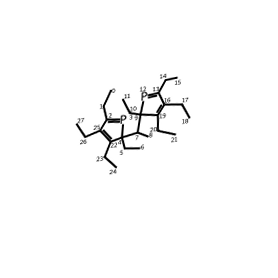 CCC1=PC(CC)(C(C)C2(CC)P=C(CC)C(CC)=C2CC)C(CC)=C1CC